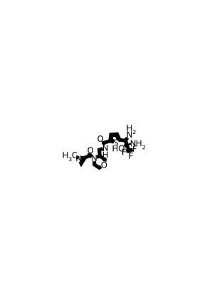 CN1C=C1C(=O)N1CCOCC1CNC(=O)c1ccc(C(N)[C@@](N)(O)C(F)(F)F)s1